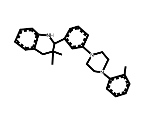 Cc1ccccc1N1CCN(c2cccc(C3Nc4ccccc4CC3(C)C)c2)CC1